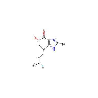 CCc1nc2c([nH]1)C(CCC(F)CC)CC(=O)C2=O